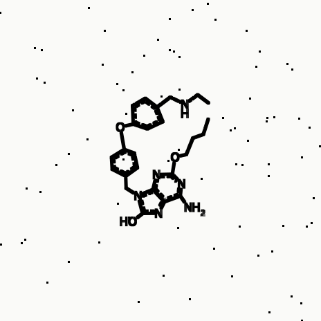 CCCCOc1nc(N)c2nc(O)n(Cc3ccc(Oc4ccc(CNCC)cc4)cc3)c2n1